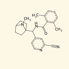 Cc1cccc(C)c1C(=O)NC(c1ccnc(C#N)c1)C12CCC(CC1)N2C